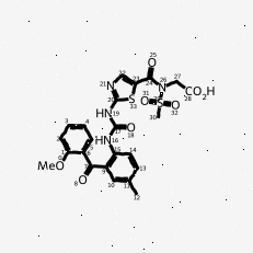 COc1ccccc1C(=O)c1cc(C)ccc1NC(=O)Nc1ncc(C(=O)N(CC(=O)O)S(C)(=O)=O)s1